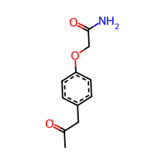 CC(=O)Cc1ccc(OCC(N)=O)cc1